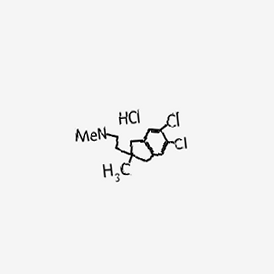 CNCCC1(C)Cc2cc(Cl)c(Cl)cc2C1.Cl